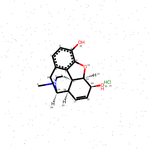 CN1CC[C@]23c4c5ccc(O)c4O[C@H]2[C@@H](O)C=C[C@H]3[C@H]1C5.Cl